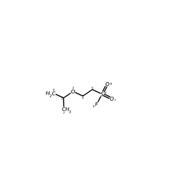 [CH2]C(C)OCCS(=O)(=O)F